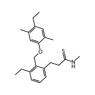 CCc1cc(C)c(OCc2c(CC)cccc2CCC(=S)NC)cc1C